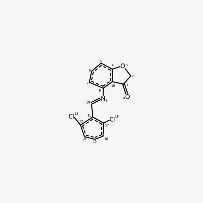 O=C1COc2cccc(N=Cc3c(Cl)cccc3Cl)c21